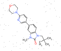 Cn1c(=O)n(CC(C)(C)C)c2ccc(-c3ccc(N4CCOCC4)nc3)cc21